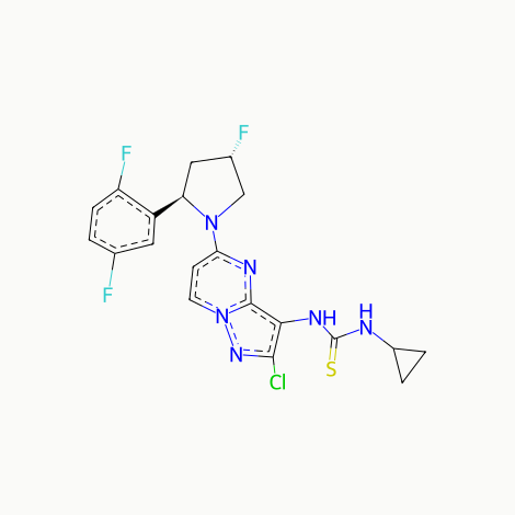 Fc1ccc(F)c([C@H]2C[C@H](F)CN2c2ccn3nc(Cl)c(NC(=S)NC4CC4)c3n2)c1